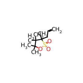 C=CCC1(C)C(C)(C)C(C)(C)OS1(=O)=O